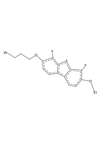 CCOc1ccc2c(sc3c(F)c(OCCCC(C)C)ccc32)c1F